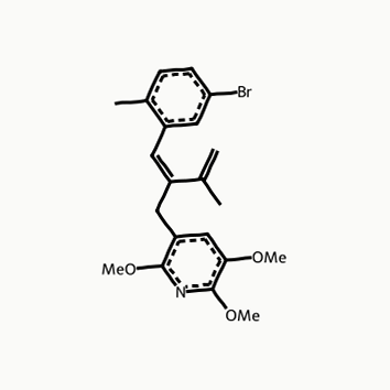 C=C(C)/C(=C\c1cc(Br)ccc1C)Cc1cc(OC)c(OC)nc1OC